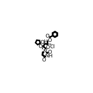 C[C@@]12OC3(CCCC3)O[C@@H]1[C@@](CCl)(COC(=O)c1ccccc1)O[C@H]2n1ccc(=O)[nH]c1=O